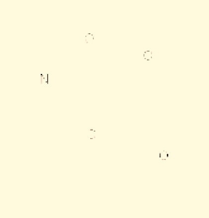 COC(=O)C(C)(C#N)OC(C)=O